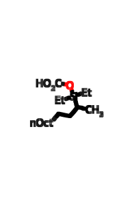 CCCCCCCCCCC(C)[Si](CC)(CC)OC(=O)O